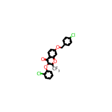 O=c1c(Oc2ccccc2Cl)c(C(F)(F)F)oc2cc(OCc3ccc(Cl)cc3)ccc12